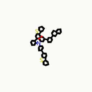 c1cc(-c2cccc(N(c3ccc(-c4ccc5c(c4)sc4ccccc45)cc3)c3ccccc3-c3ccc4c(c3)sc3ccccc34)c2)cc(-c2ccc3ccccc3c2)c1